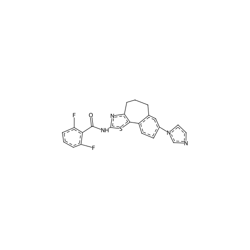 O=C(Nc1nc2c(s1)-c1ccc(-n3ccnc3)cc1CCC2)c1c(F)cccc1F